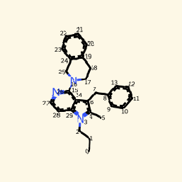 CCCn1c(C)c(Cc2ccccc2)c2c(N3CCc4ccccc4C3)nccc21